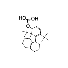 CC(C)(C)C1=C(C2CCCCC2)C(C2CCCCC2)(C(C)(C)C)C(OP(O)O)C=C1